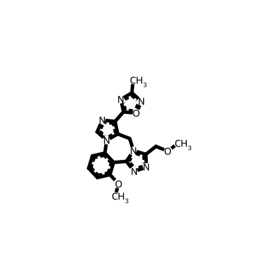 COCc1nnc2n1Cc1c(-c3nc(C)no3)ncn1-c1cccc(OC)c1-2